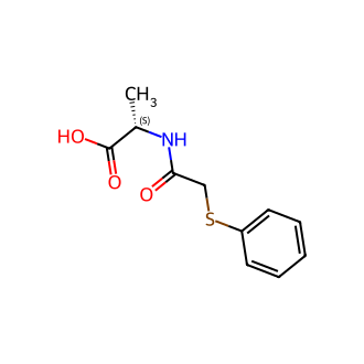 C[C@H](NC(=O)CSc1ccccc1)C(=O)O